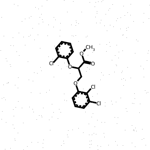 COC(=O)C(COc1cccc(Cl)c1Cl)Oc1ccccc1Cl